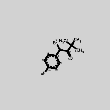 CC(C)(C)C(=O)C(Br)c1ccc(F)cc1